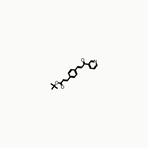 CC(C)(C)OC(=O)/C=C/c1ccc(/C=C/C(=O)c2cccnc2)cc1